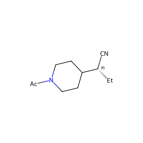 CC[C@@H](C#N)C1CCN(C(C)=O)CC1